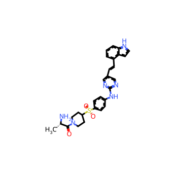 C[C@H](N)C(=O)N1CCC(S(=O)(=O)c2ccc(Nc3ncc(C=Cc4cccc5[nH]ccc45)cn3)cc2)CC1